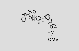 COCCNCc1ccc(-c2cc3nccc(Oc4ccc(NC(=O)C5(C(=O)Nc6ccccc6)CC5)cc4F)c3s2)o1